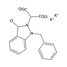 [K+].[K+].[O]C1c2ccccc2N(Cc2ccccc2)N1C(C(=O)[O-])C(=O)[O-]